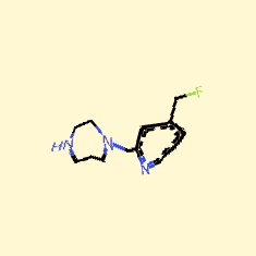 FCc1ccnc(N2CCNCC2)c1